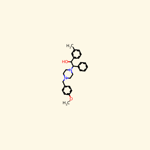 COc1ccc(CN2CCN(C(c3ccccc3)C(O)c3cccc(C)c3)CC2)cc1